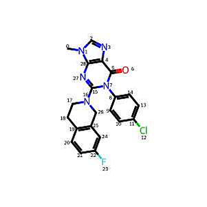 Cn1cnc2c(=O)n(-c3ccc(Cl)cc3)c(N3CCc4ccc(F)cc4C3)nc21